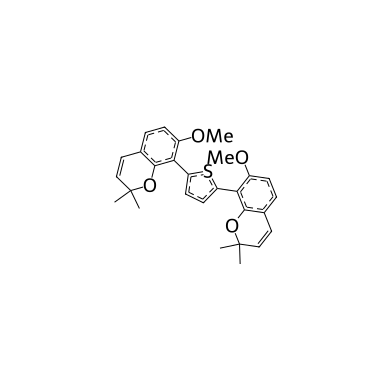 COc1ccc2c(c1-c1ccc(-c3c(OC)ccc4c3OC(C)(C)C=C4)s1)OC(C)(C)C=C2